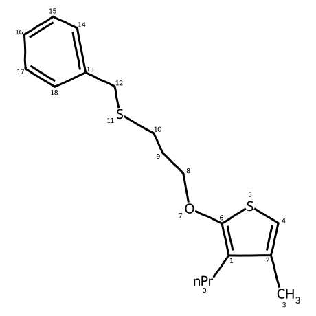 CCCc1c(C)csc1OCCCSCc1ccccc1